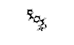 CC[C@H](NS(C)(=O)=O)C(=O)N1CCN(C(=O)c2ccco2)CC1